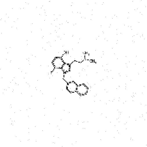 CN(C)CCc1cn(Cc2ccc3ccccc3c2)c2c(F)ccc(O)c12